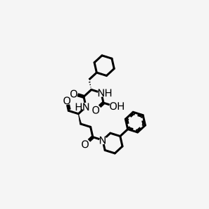 O=C[C@H](CCC(=O)N1CCCC(c2ccccc2)C1)NC(=O)[C@H](CC1CCCCC1)NC(=O)O